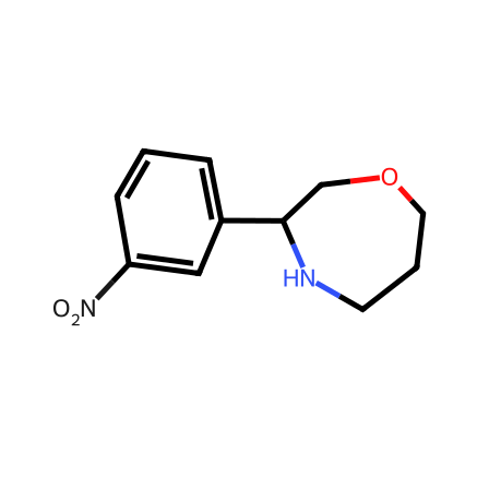 O=[N+]([O-])c1cccc(C2COCCCN2)c1